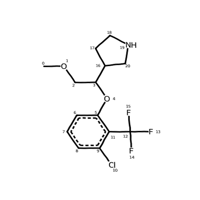 COCC(Oc1cccc(Cl)c1C(F)(F)F)C1CCNC1